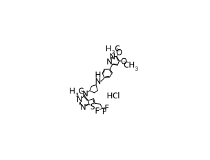 COc1cc(-c2ccc(CN[C@H]3CC[C@@H](N(C)c4ncnc5sc(CC(F)(F)F)cc45)C3)cc2)nnc1OC.Cl